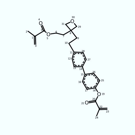 C=C(C)C(=O)OCCC1(CCc2ccc(-c3ccc(OC(=O)C(=C)C)cc3)cc2)COC1